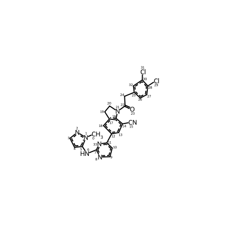 Cn1nccc1Nc1nccc(-c2cc(C#N)c3c(c2)CCN3C(=O)Cc2ccc(Cl)c(Cl)c2)n1